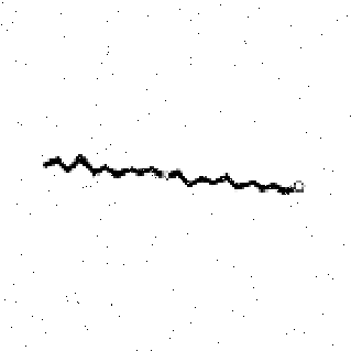 CCCCCCCCCCSCCCCCCCCCC[O]